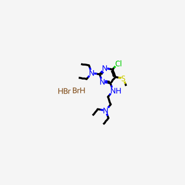 Br.Br.CCN(CC)CCNc1nc(N(CC)CC)nc(Cl)c1SC